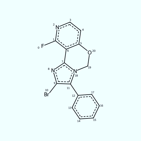 Fc1nccc2c1-c1nc(Br)c(-c3ccccc3)n1CO2